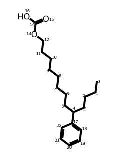 CCCCC(CCCCCCCCOC(=O)O)c1ccccc1